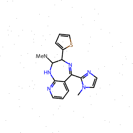 CNC1Nc2ncccc2C(c2nccn2C)=NC1c1cccs1